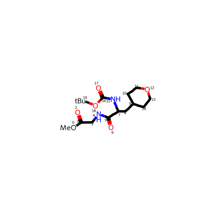 COC(=O)CNC(=O)C(CC1CCOCC1)NC(=O)OC(C)(C)C